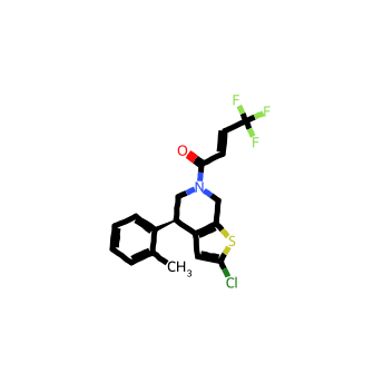 Cc1ccccc1[C@H]1CN(C(=O)/C=C/C(F)(F)F)Cc2sc(Cl)cc21